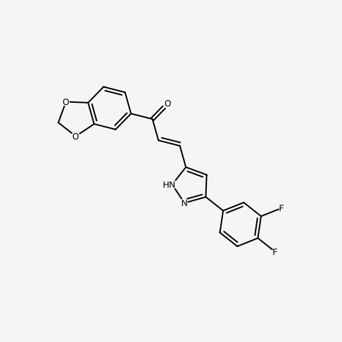 O=C(/C=C/c1cc(-c2ccc(F)c(F)c2)n[nH]1)c1ccc2c(c1)OCO2